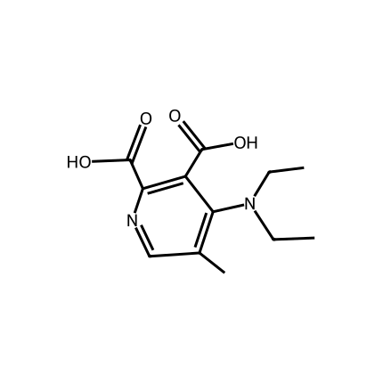 CCN(CC)c1c(C)cnc(C(=O)O)c1C(=O)O